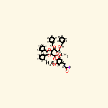 COc1cc(/C=C/C(=O)I)cc(OC)c1O[C@@H]1O[C@H](COCc2ccccc2)[C@H](OCc2ccccc2)[C@H](OCc2ccccc2)[C@H]1OCc1ccccc1